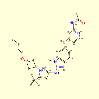 CCCCO[C@H]1C[C@H](n2nc(Nc3nc4ccc(Oc5ccnc(NC(C)=O)c5)cc4n3C)cc2C(C)(C)C)C1